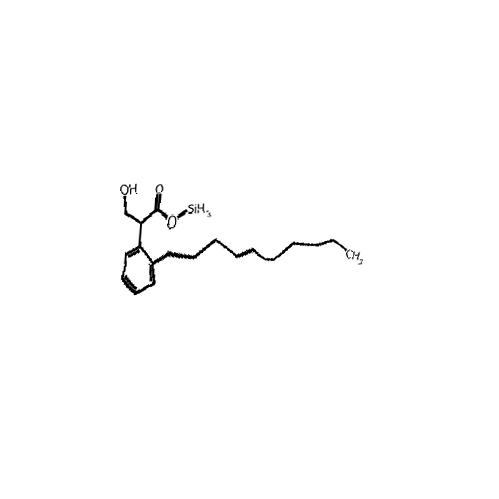 CCCCCCCCCCc1ccccc1C(CO)C(=O)O[SiH3]